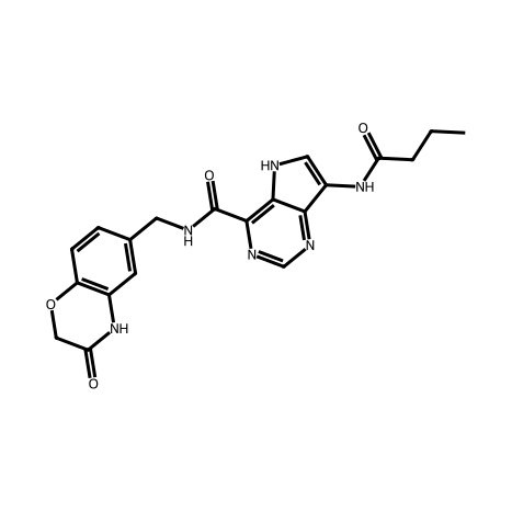 CCCC(=O)Nc1c[nH]c2c(C(=O)NCc3ccc4c(c3)NC(=O)CO4)ncnc12